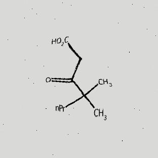 CCCC(C)(C)C(=O)CC(=O)O